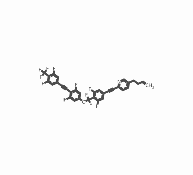 C=CCCc1ccc(C#Cc2cc(F)c(C(F)(F)Oc3cc(F)c(C#Cc4cc(F)c(C(F)(F)F)c(F)c4)c(F)c3)c(F)c2)nc1